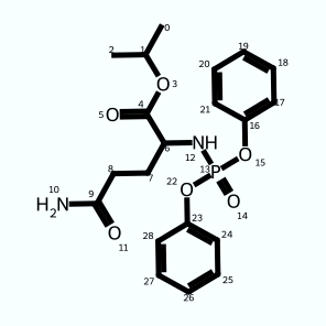 CC(C)OC(=O)C(CCC(N)=O)NP(=O)(Oc1ccccc1)Oc1ccccc1